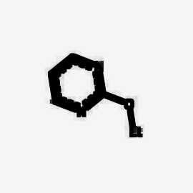 CCOc1n[c]ccn1